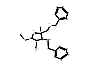 CO[C@H]1O[C@](C)(COCc2ccccc2)[C@@H](OCc2ccccc2)[C@H]1O